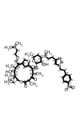 CC[C@H]1OC(=O)[C@H](C)C(=O)[C@H](C)[C@@H](O[C@@H]2O[C@H](C)C[C@H](N(C)CCc3cn(CCc4ccc([N+](=O)[O-])cc4)nn3)[C@H]2O)[C@@]2(C)C[C@@H](CO2)/C(=N\OCCN(C)C)[C@H](C)[C@@H](O)[C@]1(C)O